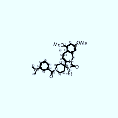 CCN1C(=O)N2Cc3cc(OC)cc(OC)c3[C@@H](C)C=C2C12CCN(C(=O)c1cccc(N(C)C)c1)CC2